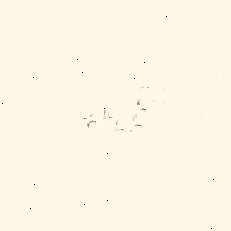 C[SiH](O[SiH](C)O[SiH](C)O[Si](C)(C)C)O[SiH](C)O[Si](C)(C)C